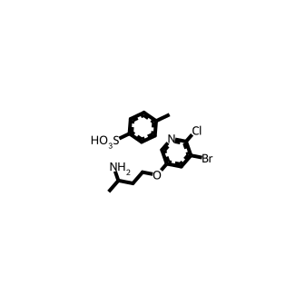 CC(N)CCOc1cnc(Cl)c(Br)c1.Cc1ccc(S(=O)(=O)O)cc1